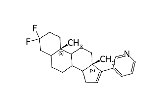 C[C@]12CCC(F)(F)CC1CCC1C2CC[C@]2(C)C(c3cccnc3)=CCC12